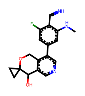 CNc1cc(-c2cncc3c2COC2(CC2)C3O)cc(F)c1C=N